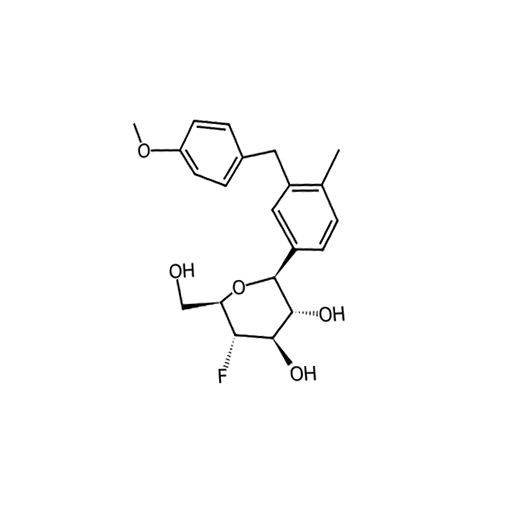 COc1ccc(Cc2cc([C@@H]3O[C@H](CO)[C@@H](F)[C@H](O)[C@H]3O)ccc2C)cc1